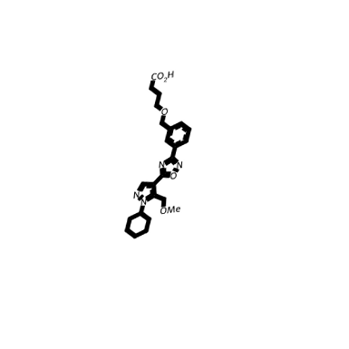 COCc1c(-c2nc(-c3cccc(COCCCC(=O)O)c3)no2)cnn1C1CCCCC1